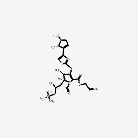 C=CCOC(=O)C1=C(Sc2nc(C3=CCN(C)[C@H]3C)cs2)[C@H](C)[C@@H]2[C@@H]([C@H](C)O[Si](C)(C)C)C(=O)N12